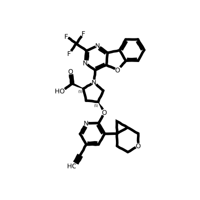 C#Cc1cnc(O[C@H]2C[C@@H](C(=O)O)N(c3nc(C(F)(F)F)nc4c3oc3ccccc34)C2)c(C23CCOCC2C3)c1